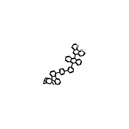 CC1CC23CC2CC(C3)C12c1ccccc1-c1c(-c3ccc(-c4cccc(-c5c6ccccc6c(-c6cc7cccnc7c7ncccc67)c6ccccc56)c4)cc3)cccc12